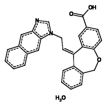 O.O=C(O)c1ccc2c(c1)C(=CCn1cnc3cc4ccccc4cc31)c1ccccc1CO2